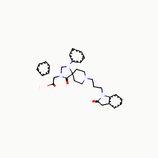 O=C(O)[C@H](c1ccccc1)N1CN(c2ccccc2)C2(CCN(CCCN3C(=O)Cc4ccccc43)CC2)C1=O